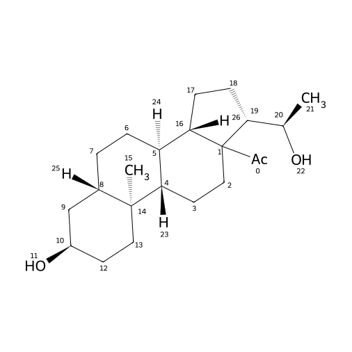 CC(=O)C12CC[C@H]3[C@@H](CC[C@H]4C[C@H](O)CC[C@@]43C)[C@@H]1CC[C@@H]2[C@@H](C)O